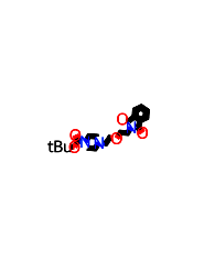 CC(C)(C)OC(=O)N1CCN(CCOCCN2C(=O)c3ccccc3C2=O)CC1